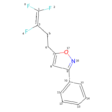 FC(F)=C(F)CCc1cc(-c2ccccc2)no1